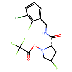 O=C(NCc1cccc(Cl)c1F)[C@@H]1C[C@@H](F)CN1OC(=O)C(F)(F)F